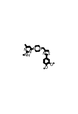 CNc1nc(C)cc(N2CCN(Cc3csc(-c4ccc(OC)c(OC)c4)n3)CC2)n1